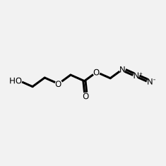 [N-]=[N+]=NCOC(=O)COCCO